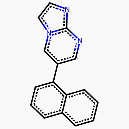 [c]1nc2nccn2cc1-c1cccc2ccccc12